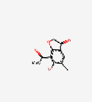 COC(=O)c1c(Br)c(C)cc2c1OCC2=O